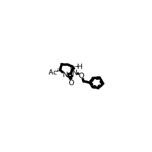 CC(=O)[C@@H]1CC[C@@H]2CN1C(=O)N2OCc1ccccc1